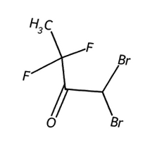 CC(F)(F)C(=O)C(Br)Br